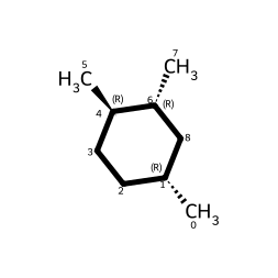 C[C@@H]1CC[C@@H](C)[C@H](C)C1